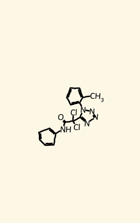 Cc1ccccc1-n1nnnc1C(Cl)(Cl)C(=O)Nc1ccccc1